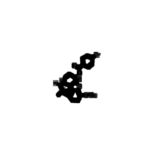 COc1ccc2c3c1O[C@H]1[C@@H](OC(=O)c4ccc(Br)cc4)C=C[C@H]4[C@@H](C2)N(C)CC[C@@]341